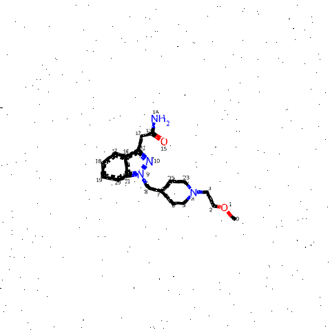 COCCN1CCC(Cn2nc(CC(N)=O)c3ccccc32)CC1